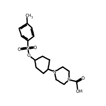 Cc1ccc(S(=O)(=O)OC2CCC(N3CCN(C(=O)O)CC3)CC2)cc1